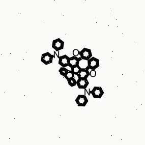 c1ccc(N(c2ccccc2)c2ccc3c4c(c5c6ccccc6oc5c3c2)-c2c(c3ccc(N(c5ccccc5)c5ccccc5)cc3c3oc5ccccc5c23)C42c3ccccc3-c3ccccc32)cc1